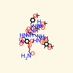 COc1cc(C(C)NNC(=O)[C@H](CCCNC(=N)NS(=O)(=O)c2c(C)c(C)c3c(c2C)CC(C)(C)O3)NC(=O)[C@H](Cc2ccc(OC(C)(C)C)cc2)NC(=O)[C@H](C)NC(=O)OC(C)(C)C)c([N+](=O)[O-])cc1OCCCC(N)=O